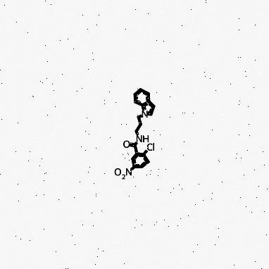 O=C(NCCCn1ccc2ccccc21)c1cc([N+](=O)[O-])ccc1Cl